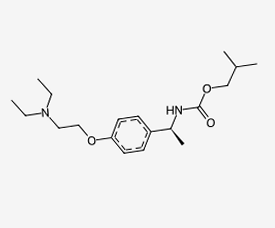 CCN(CC)CCOc1ccc([C@H](C)NC(=O)OCC(C)C)cc1